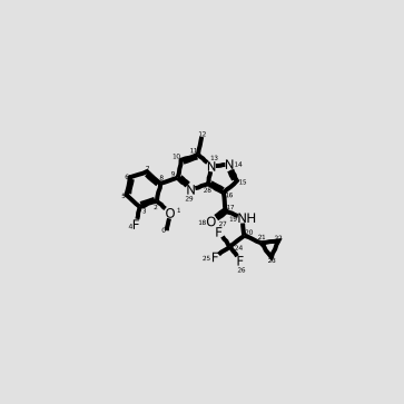 COc1c(F)cccc1-c1cc(C)n2ncc(C(=O)NC(C3CC3)C(F)(F)F)c2n1